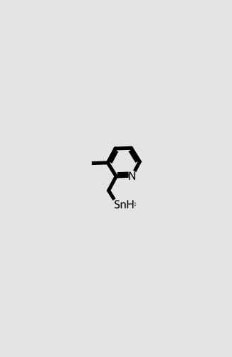 Cc1cccnc1[CH2][SnH]